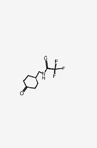 O=C1CCC(CNC(=O)C(F)(F)F)CC1